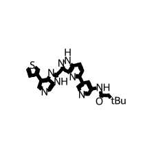 CC(C)(C)CC(=O)Nc1cncc(-c2ccc3[nH]nc(-c4nc5c(-c6ccsc6)cncc5[nH]4)c3n2)c1